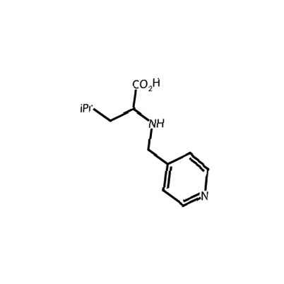 CC(C)CC(NCc1ccncc1)C(=O)O